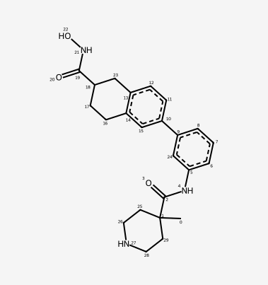 CC1(C(=O)Nc2cccc(-c3ccc4c(c3)CCC(C(=O)NO)C4)c2)CCNCC1